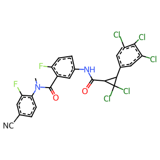 CN(C(=O)c1cc(NC(=O)C2C(c3cc(Cl)c(Cl)c(Cl)c3)C2(Cl)Cl)ccc1F)c1ccc(C#N)cc1F